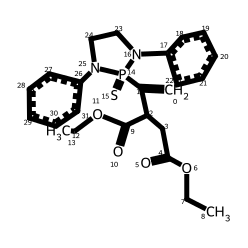 C=C(C(CC(=O)OCC)C(=O)OCC)P1(=S)N(c2ccccc2)CCN1c1ccccc1